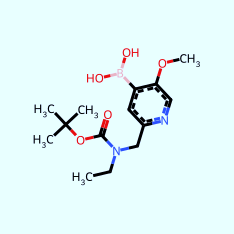 CCN(Cc1cc(B(O)O)c(OC)cn1)C(=O)OC(C)(C)C